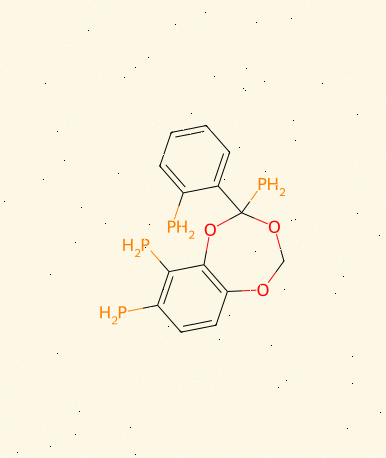 Pc1ccccc1C1(P)OCOc2ccc(P)c(P)c2O1